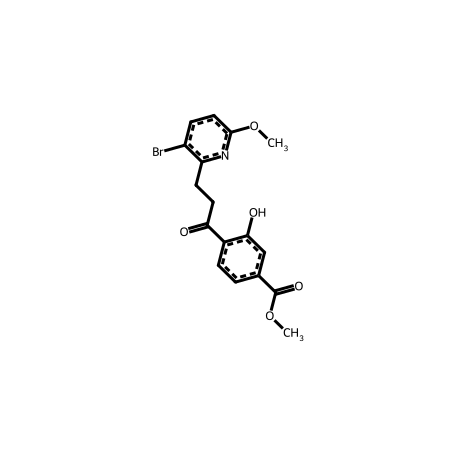 COC(=O)c1ccc(C(=O)CCc2nc(OC)ccc2Br)c(O)c1